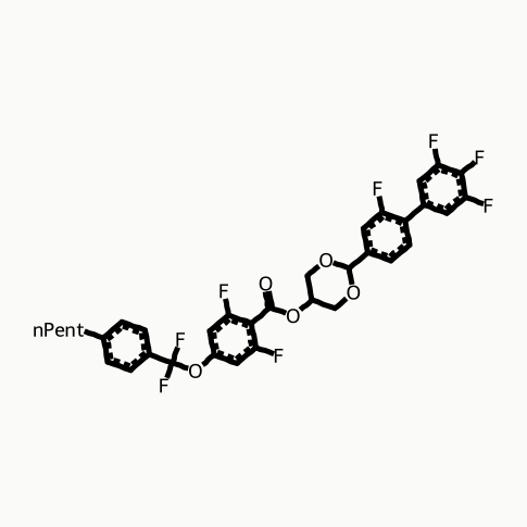 CCCCCc1ccc(C(F)(F)Oc2cc(F)c(C(=O)OC3COC(c4ccc(-c5cc(F)c(F)c(F)c5)c(F)c4)OC3)c(F)c2)cc1